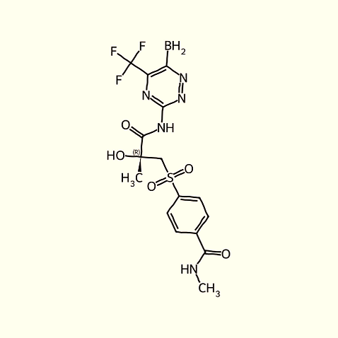 Bc1nnc(NC(=O)[C@@](C)(O)CS(=O)(=O)c2ccc(C(=O)NC)cc2)nc1C(F)(F)F